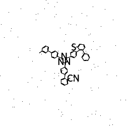 Cc1cccc(-c2ccc(-c3nc(-c4ccc(-c5ccccc5C#N)cc4)nc(-c4ccc5c(c4)sc4cccc(-c6ccccc6)c45)n3)cc2)c1